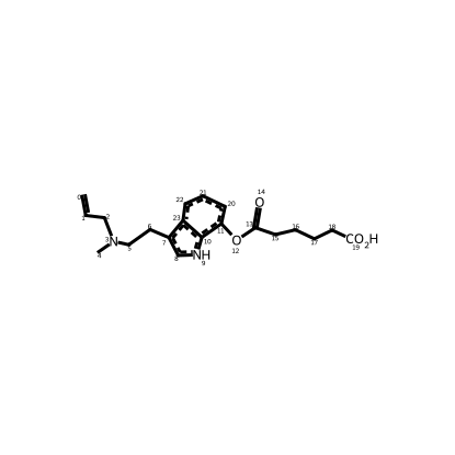 C=CCN(C)CCc1c[nH]c2c(OC(=O)CCCCC(=O)O)cccc12